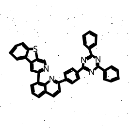 c1ccc(-c2nc(-c3ccccc3)nc(-c3ccc(-c4ccc5cccc(-c6cc7c(cn6)sc6ccccc67)c5n4)cc3)n2)cc1